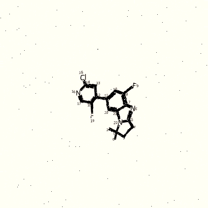 CC1(C)CCc2nc3c(F)cc(-c4cc(Cl)ncc4F)cc3n21